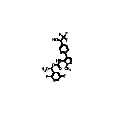 C[C@@H](OC(=O)Nc1c(-c2ncc(C(O)C(F)(F)F)cn2)cnn1C)c1cc(F)cnc1F